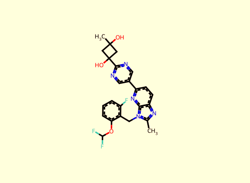 Cc1nc2ccc(-c3cnc(C4(O)CC(C)(O)C4)nc3)nc2n1Cc1c(F)cccc1OC(F)F